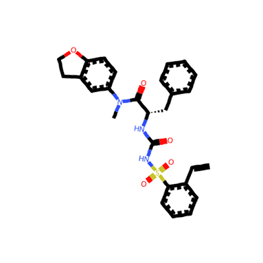 C=Cc1ccccc1S(=O)(=O)NC(=O)N[C@@H](Cc1ccccc1)C(=O)N(C)c1ccc2c(c1)CCO2